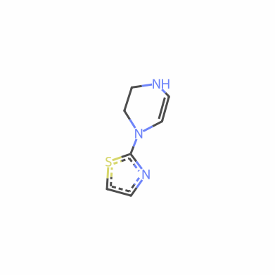 C1=CN(c2nccs2)CCN1